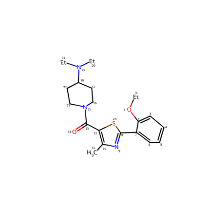 CCOc1ccccc1-c1nc(C)c(C(=O)N2CCC(N(CC)CC)CC2)s1